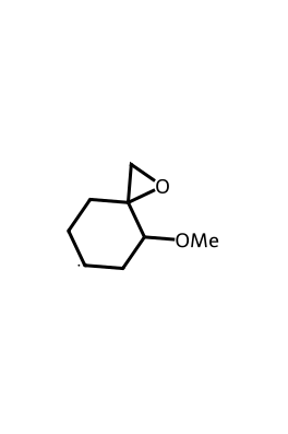 COC1C[CH]CCC12CO2